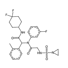 Cc1ccccc1C(C(=O)NC1CCC(F)(F)CC1)N(C(=O)CNS(=O)(=O)N1CC1)c1cccc(F)c1